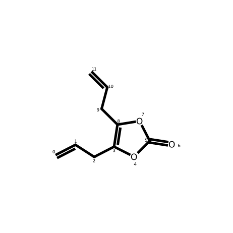 C=C[CH]c1oc(=O)oc1CC=C